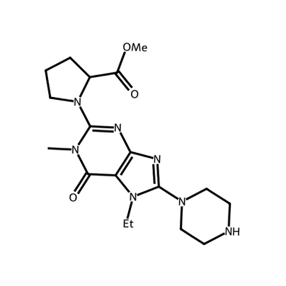 CCn1c(N2CCNCC2)nc2nc(N3CCCC3C(=O)OC)n(C)c(=O)c21